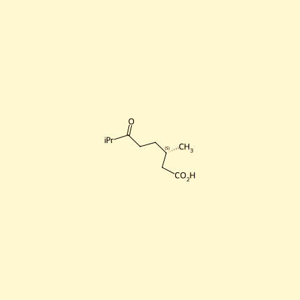 CC(C)C(=O)CC[C@H](C)CC(=O)O